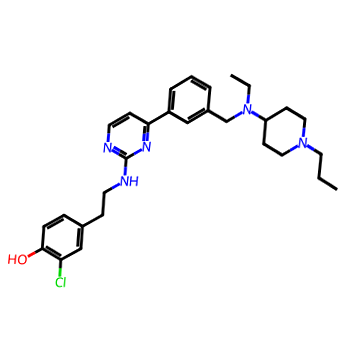 CCCN1CCC(N(CC)Cc2cccc(-c3ccnc(NCCc4ccc(O)c(Cl)c4)n3)c2)CC1